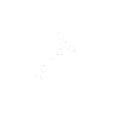 O=C(NCCc1ccc(C2=NCCN2)cc1)c1ccc(S(=O)(=O)N(Oc2ccc(Cl)c(Cl)c2)c2ccccc2)cc1